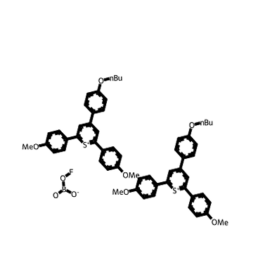 CCCCOc1ccc(-c2cc(-c3ccc(OC)cc3)[s+]c(-c3ccc(OC)cc3)c2)cc1.CCCCOc1ccc(-c2cc(-c3ccc(OC)cc3)[s+]c(-c3ccc(OC)cc3)c2)cc1.[O-]B([O-])OF